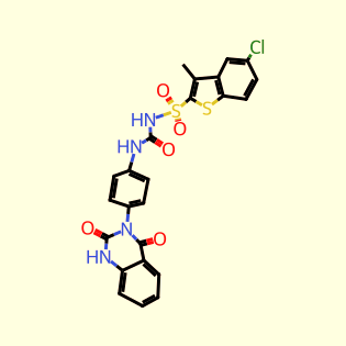 Cc1c(S(=O)(=O)NC(=O)Nc2ccc(-n3c(=O)[nH]c4ccccc4c3=O)cc2)sc2ccc(Cl)cc12